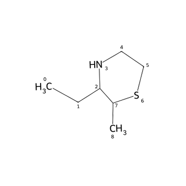 CCC1NCCSC1C